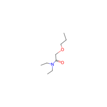 CCCOCC(=O)N(CC)CC